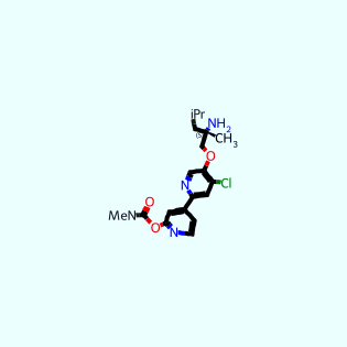 CNC(=O)Oc1cc(-c2cc(Cl)c(OC[C@@](C)(N)CC(C)C)cn2)ccn1